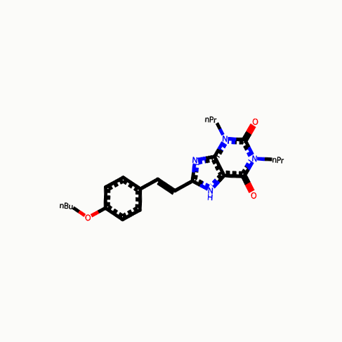 CCCCOc1ccc(/C=C/c2nc3c([nH]2)c(=O)n(CCC)c(=O)n3CCC)cc1